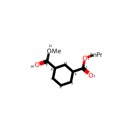 CCCOC(=O)C1CCCC(C(=O)OC)C1